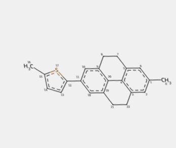 Cc1cc2c3c(c1)CCc1cc(-c4ccc(C)s4)cc(c1-3)CC2